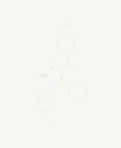 CCOC(=O)c1ccc(N2C(=O)C(=O)C(C(=O)c3ccc(OC)cc3)C2C2CCCCC2)cc1